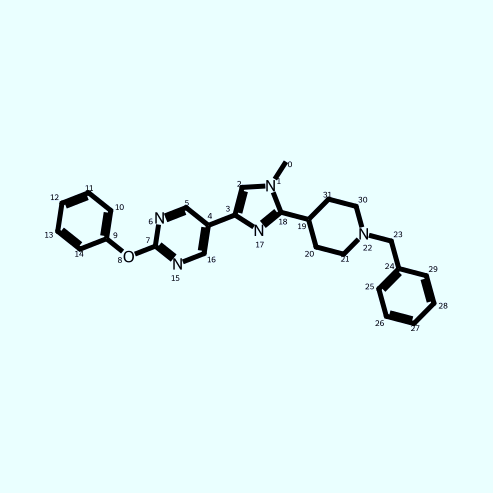 Cn1cc(-c2cnc(Oc3ccccc3)nc2)nc1C1CCN(Cc2ccccc2)CC1